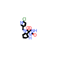 O=C1NC(=O)C2(N1)C(=O)N(Cc1ccc(Cl)nc1)c1ccccc12